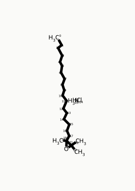 CCCCCCCCCCCCCCCCCCC1(C)OC1(C)C.Cl.N